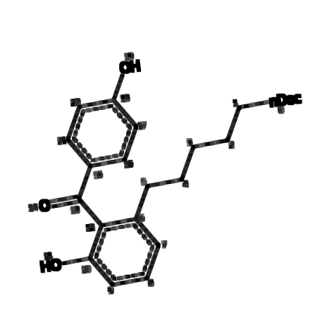 CCCCCCCCCCCCCCCc1cccc(O)c1C(=O)c1ccc(O)cc1